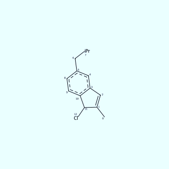 CC1=Cc2cc(CC(C)C)ccc2C1Cl